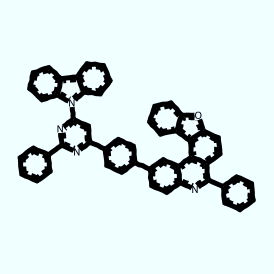 c1ccc(-c2nc(-c3ccc(-c4ccc5nc(-c6ccccc6)c6ccc7oc8ccccc8c7c6c5c4)cc3)cc(-n3c4ccccc4c4ccccc43)n2)cc1